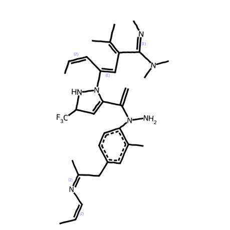 C=C(C1=CC(C(F)(F)F)NN1C(/C=C\C)=C/C(=C(C)C)/C(=N\C)N(C)C)N(N)c1ccc(C/C(C)=N\C=C/C)cc1C